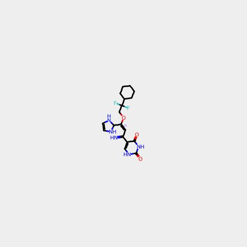 N=C(/C=C(/OCC(F)(F)C1CCCCC1)C1NC=CN1)c1c[nH]c(=O)[nH]c1=O